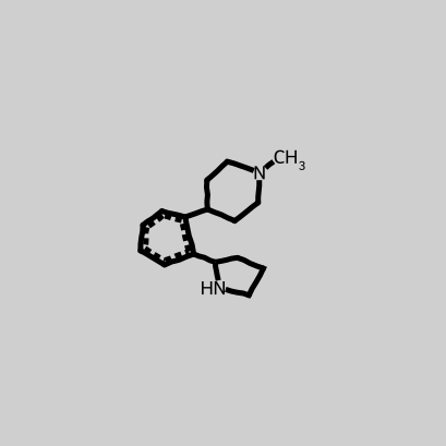 CN1CCC(c2ccccc2C2CCCN2)CC1